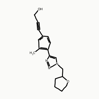 Cc1cc(C#CCO)ccc1-c1cn(CC2CCCCO2)nn1